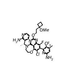 COC1(CCOc2nc3c4c(c(Cl)c(-c5nc(N)cc(C)c5C(F)(F)F)c(F)c4n2)OCCN3[C@H](C)c2cccnc2N)CCC1